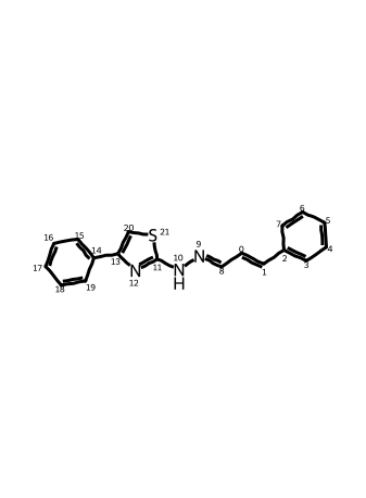 C(=Cc1ccccc1)C=NNc1nc(-c2ccccc2)cs1